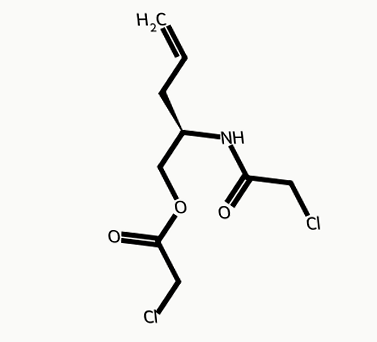 C=CC[C@H](COC(=O)CCl)NC(=O)CCl